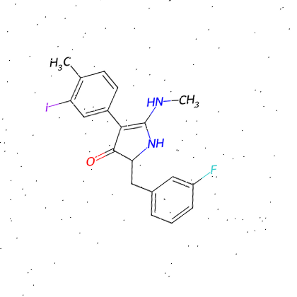 CNC1=C(c2ccc(C)c(I)c2)C(=O)C(Cc2cccc(F)c2)N1